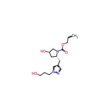 C=CCOC(=O)N1C[C@H](O)C[C@H]1Cc1cnn(CCCO)c1